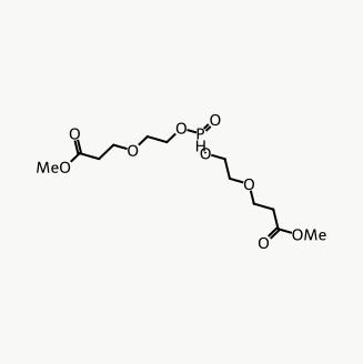 COC(=O)CCOCCO[PH](=O)OCCOCCC(=O)OC